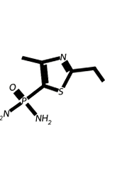 CCc1nc(C)c(P(N)(N)=O)s1